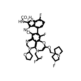 N#Cc1c(NC(=O)O)sc2c(F)ccc(-c3c(F)c4c5c(c3Cl)=NCN(C3CCCO3)C=5N(CC(F)F)C=C(OC[C@@]35CCCN3C[C@H](F)C5)O4)c12